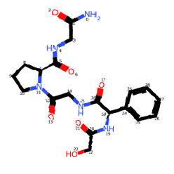 NC(=O)CNC(=O)[C@@H]1CCCN1C(=O)CNC(=O)[C@H](NC(=O)CO)c1ccccc1